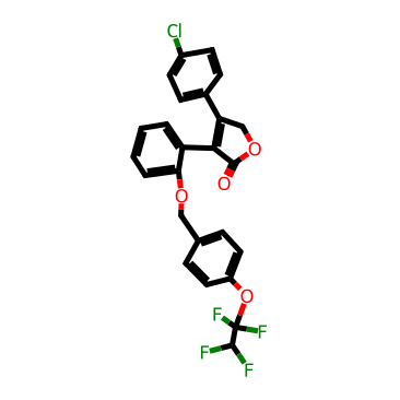 O=C1OCC(c2ccc(Cl)cc2)=C1c1ccccc1OCc1ccc(OC(F)(F)C(F)F)cc1